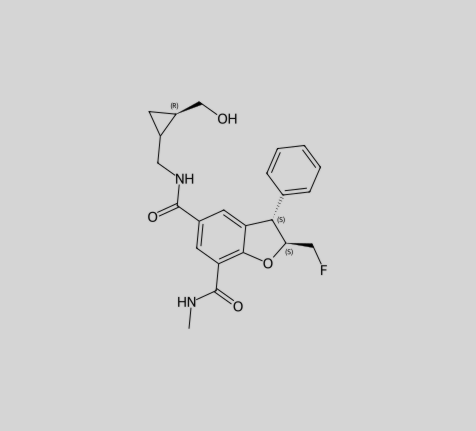 CNC(=O)c1cc(C(=O)NCC2C[C@H]2CO)cc2c1O[C@H](CF)[C@H]2c1ccccc1